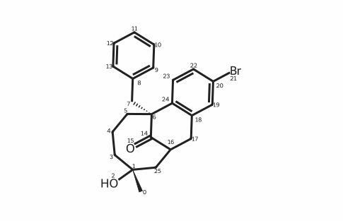 C[C@@]1(O)CCC[C@]2(Cc3ccccc3)C(=O)C(Cc3cc(Br)ccc32)C1